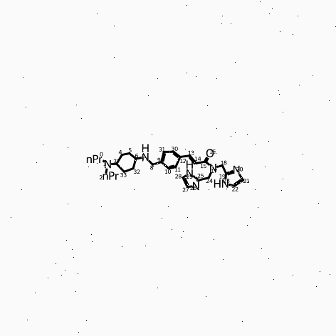 CCCN(CCC)C1CCC(NCc2ccc(C=CC(=O)N(Cc3ncc[nH]3)Cc3ncc[nH]3)cc2)CC1